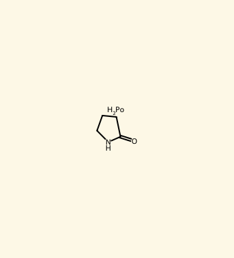 O=C1CCCN1.[PoH2]